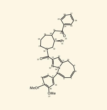 COc1ccc(/C2=C/C=C\CCc3cc(C(=O)N4CCCC(CC(=O)c5ccccc5)[C@@H](C(C)C)C4)nn32)cc1OC